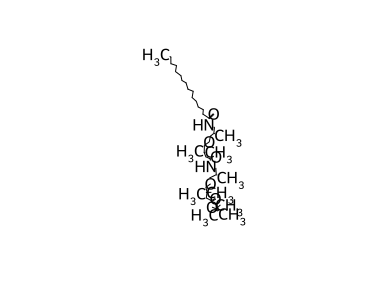 CCCCCCCCCCCCCCCC(=O)NCC(C)COCC(C)(C)CC(=O)NCC(C)COCC(C)(C)CC(=O)OC(C)(C)C